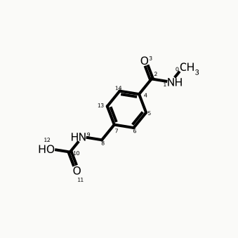 CNC(=O)c1ccc(CNC(=O)O)cc1